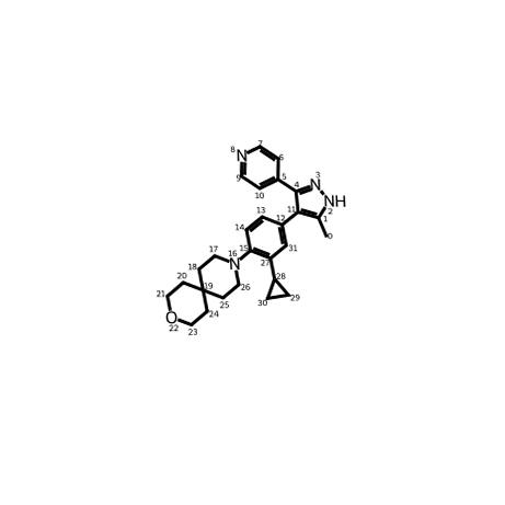 Cc1[nH]nc(-c2ccncc2)c1-c1ccc(N2CCC3(CCOCC3)CC2)c(C2CC2)c1